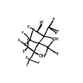 OC(C(F)(F)F)(C(F)(F)F)C(C(F)(F)F)(C(F)(F)F)C(O)(C(F)(F)F)C(F)(F)F